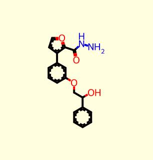 NNC(=O)c1occc1-c1cccc(OCC(O)c2ccccc2)c1